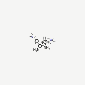 CC/C(C)=C\C(C)c1cc(C)c(-c2cc(N)cc3c(N)nc(NC4=NC(C)/C(=C(/C)CC)C=C4)nc23)c(C)c1